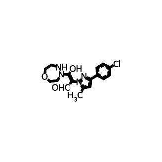 Cc1cc(-c2ccc(Cl)cc2)nn1/C(C=O)=C(\O)N1CCOCCN1